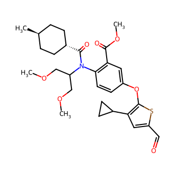 COCC(COC)N(c1ccc(Oc2sc(C=O)cc2C2CC2)cc1C(=O)OC)C(=O)[C@H]1CC[C@H](C)CC1